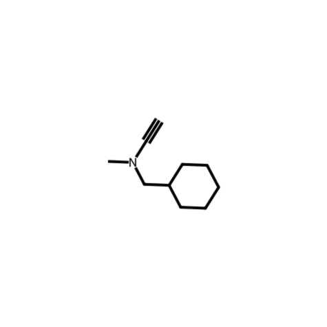 C#CN(C)CC1CCCCC1